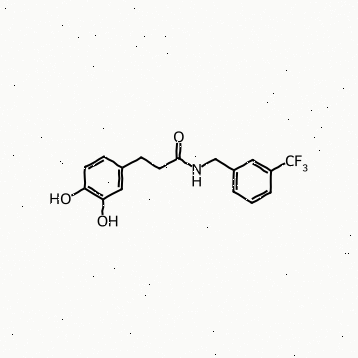 O=C(CCc1ccc(O)c(O)c1)NCc1cccc(C(F)(F)F)c1